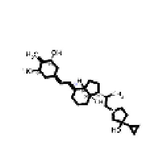 C=C1[C@H](O)CC(=C/C=C2\CCC[C@]3(C)[C@@H](C(C)CN4CCC(O)(C5CC5)C4)CC[C@@H]23)C[C@H]1O